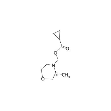 C[C@@H]1COCCN1COC(=O)C1CC1